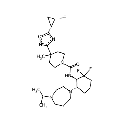 CC(C)N1CCCN([C@H]2CCCC(F)(F)[C@@H]2NC(=O)N2CCC(C)(c3noc([C@@H]4C[C@@H]4F)n3)CC2)CC1